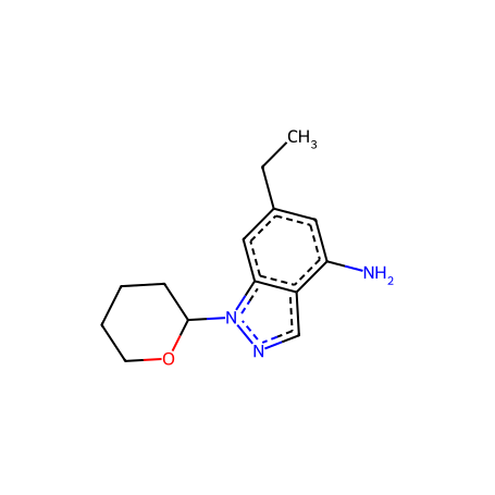 CCc1cc(N)c2cnn(C3CCCCO3)c2c1